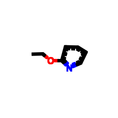 CCOc1ccccn1